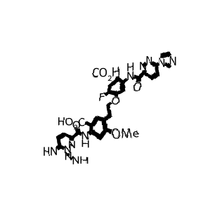 COc1cc(NC(=O)c2ccc(=N)n(N=N)n2)c(C(=O)O)cc1CCOc1cc(NC(=O)c2ccc(-n3ccnc3)nn2)c(C(=O)O)cc1F